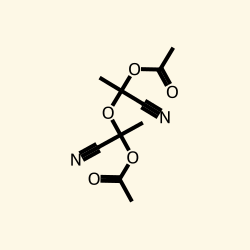 CC(=O)OC(C)(C#N)OC(C)(C#N)OC(C)=O